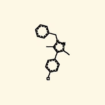 Cc1nn(Cc2ccccc2)c(C)c1-c1ccc(Cl)cc1